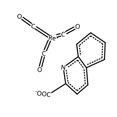 O=C([O-])c1ccc2ccccc2n1.O=[C]=[Re+](=[C]=O)=[C]=O